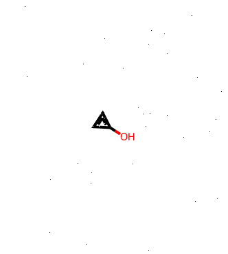 OC1=C=C1